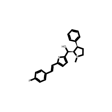 CN1CC[C@H](c2ccccc2)[C@@H]1C(O)c1ccc(/C=C/c2ccc(F)cc2)s1